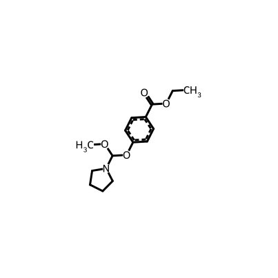 CCOC(=O)c1ccc(OC(OC)N2CCCC2)cc1